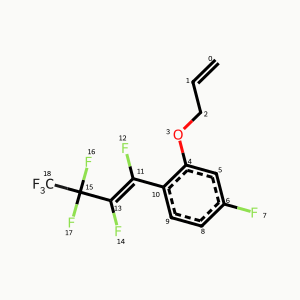 C=CCOc1cc(F)ccc1/C(F)=C(\F)C(F)(F)C(F)(F)F